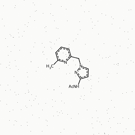 CC(=O)Nc1ccn(Cc2cccc(C)n2)n1